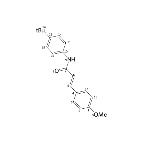 COc1ccc(C=CC(=O)Nc2ccc(C(C)(C)C)cc2)cc1